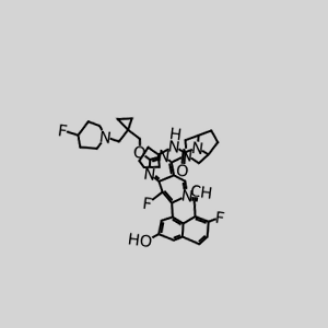 C#Cc1c(F)ccc2cc(O)cc(-c3ncc4c(N5CC6CCC(C5)N6C(=O)NC5CCCC5)nc(OCC5(CN6CCC(F)CC6)CC5)nc4c3F)c12